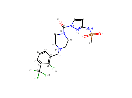 CS(=O)(=O)Nc1ccn(C(=O)N2CCN(Cc3cccc(C(F)(F)F)c3Cl)CC2)n1